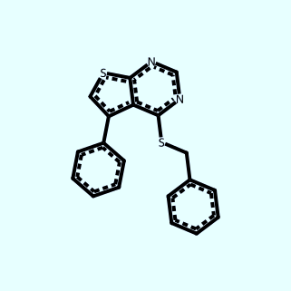 c1ccc(CSc2ncnc3scc(-c4ccccc4)c23)cc1